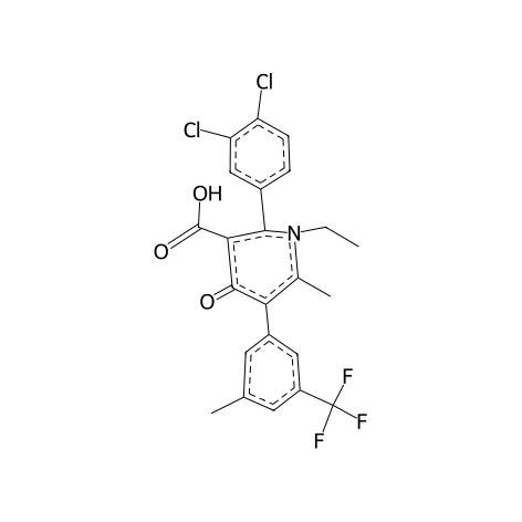 CCn1c(C)c(-c2cc(C)cc(C(F)(F)F)c2)c(=O)c(C(=O)O)c1-c1ccc(Cl)c(Cl)c1